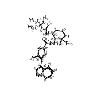 CC(C)(C)OC(=O)N[C@@H]1CCCC(F)(F)[C@@H]1NC(=O)c1nc(-c2cnn3ccccc23)c(I)s1